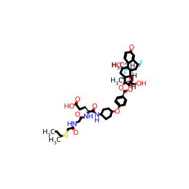 CCC(C)SCC(=O)NCC(=O)N[C@@H](CCC(=O)O)C(=O)NC1CCC(Oc2ccc([C@@H]3O[C@@H]4C[C@H]5[C@@H]6C[C@H](F)C7=CC(=O)C=C[C@]7(C)[C@@]6(F)[C@@H](O)C[C@]5(C)[C@]4(C(=O)CO)O3)cc2)CC1